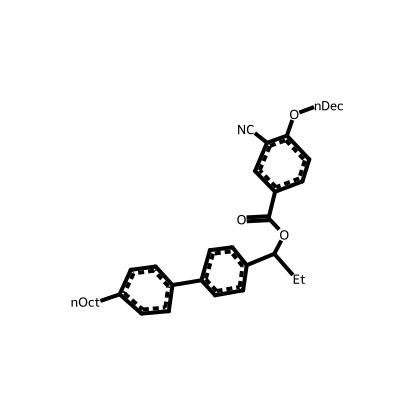 CCCCCCCCCCOc1ccc(C(=O)OC(CC)c2ccc(-c3ccc(CCCCCCCC)cc3)cc2)cc1C#N